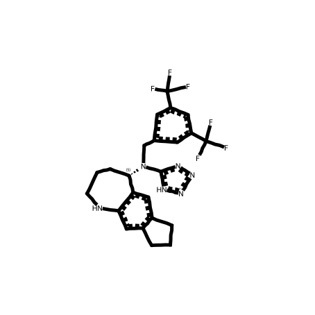 FC(F)(F)c1cc(CN(c2nnn[nH]2)[C@H]2CCCNc3cc4c(cc32)CCC4)cc(C(F)(F)F)c1